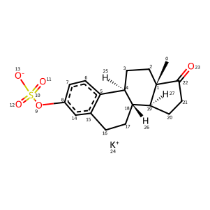 C[C@]12CC[C@@H]3c4ccc(OS(=O)(=O)[O-])cc4CC[C@H]3[C@@H]1CCC2=O.[K+]